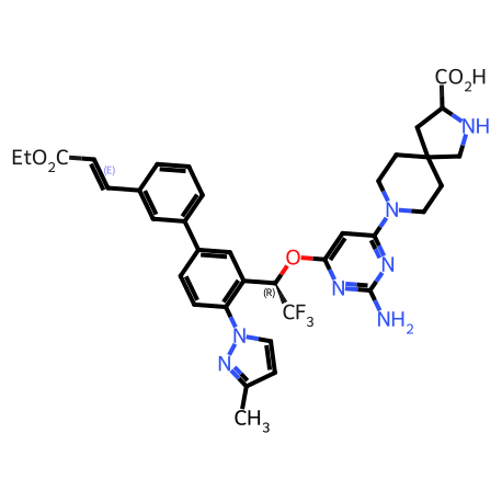 CCOC(=O)/C=C/c1cccc(-c2ccc(-n3ccc(C)n3)c([C@@H](Oc3cc(N4CCC5(CC4)CNC(C(=O)O)C5)nc(N)n3)C(F)(F)F)c2)c1